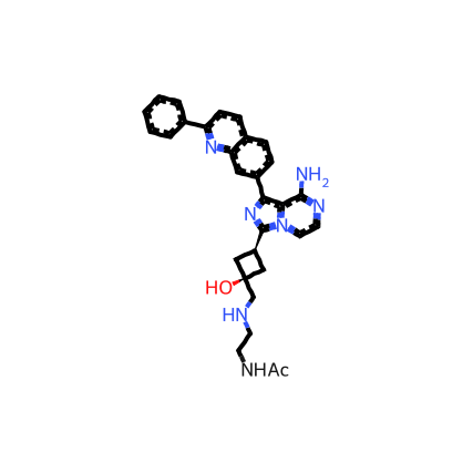 CC(=O)NCCNC[C@]1(O)C[C@@H](c2nc(-c3ccc4ccc(-c5ccccc5)nc4c3)c3c(N)nccn32)C1